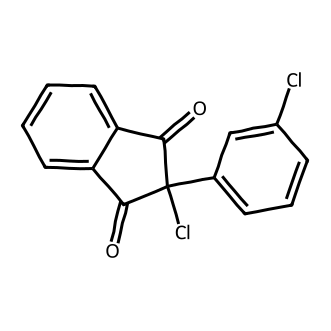 O=C1c2ccccc2C(=O)C1(Cl)c1cccc(Cl)c1